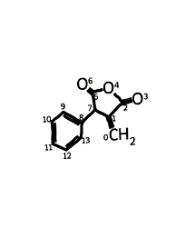 C=C1C(=O)OC(=O)C1c1ccccc1